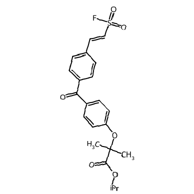 CC(C)OC(=O)C(C)(C)Oc1ccc(C(=O)c2ccc(C=CS(=O)(=O)F)cc2)cc1